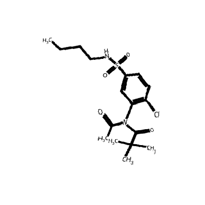 CCCCNS(=O)(=O)c1ccc(Cl)c(N(C(C)=O)C(=O)C(C)(C)C)c1